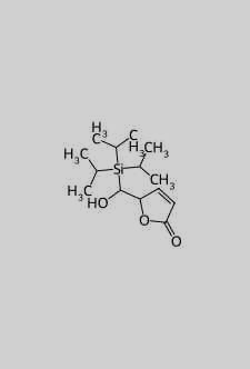 CC(C)[Si](C(C)C)(C(C)C)C(O)C1C=CC(=O)O1